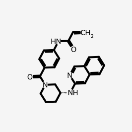 C=CC(=O)Nc1ccc(C(=O)N2CCC[C@@H](Nc3cc4ccccc4cn3)C2)cc1